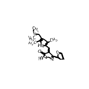 Cc1[nH]c(C=C2C(=O)NN=C2c2ccco2)c(C)c1CN(C)C